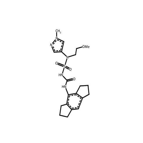 COCCN(c1cnn(C)c1)S(=O)(=O)NC(=O)Nc1c2c(cc3c1CCC3)CCC2